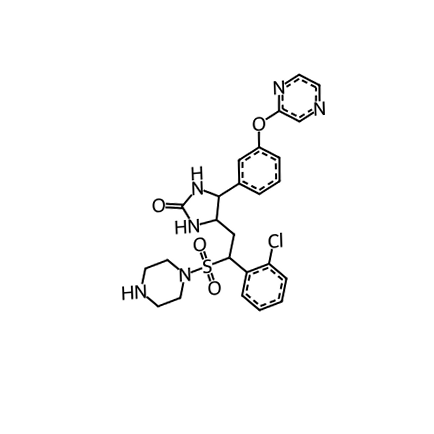 O=C1NC(CC(c2ccccc2Cl)S(=O)(=O)N2CCNCC2)C(c2cccc(Oc3cnccn3)c2)N1